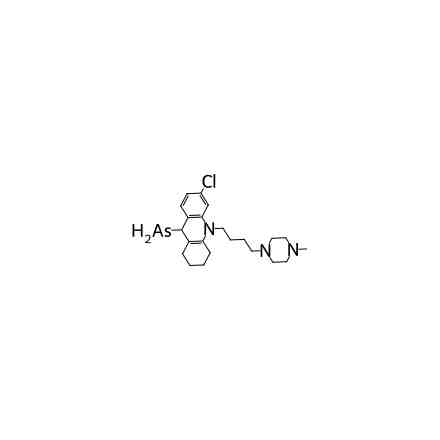 CN1CCN(CCCCN2C3=C(CCCC3)C([AsH2])c3ccc(Cl)cc32)CC1